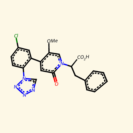 COc1cn(C(Cc2ccccc2)C(=O)O)c(=O)cc1-c1cc(Cl)ccc1-n1cnnn1